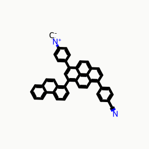 [C-]#[N+]c1ccc(-c2cc(-c3cccc4c3ccc3ccccc34)c3ccc4c(-c5ccc(C#N)cc5)ccc5ccc2c3c54)cc1